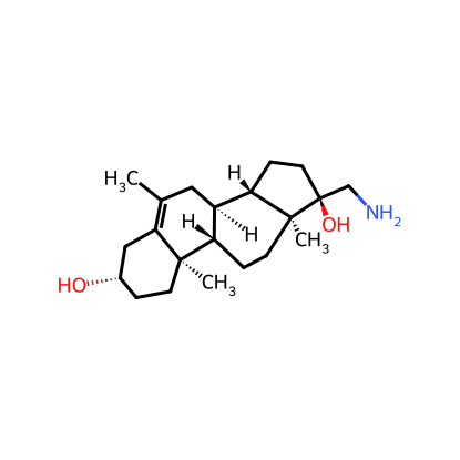 CC1=C2C[C@@H](O)CC[C@]2(C)[C@H]2CC[C@@]3(C)[C@@H](CC[C@]3(O)CN)[C@@H]2C1